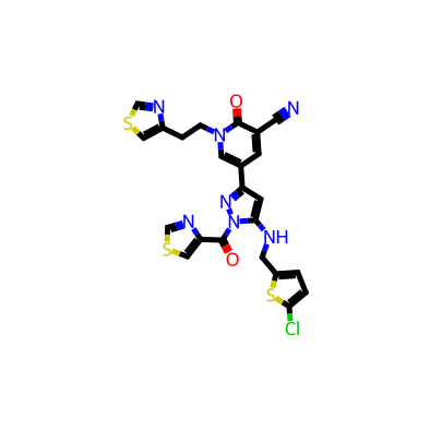 N#Cc1cc(-c2cc(NCc3ccc(Cl)s3)n(C(=O)c3cscn3)n2)cn(CCc2cscn2)c1=O